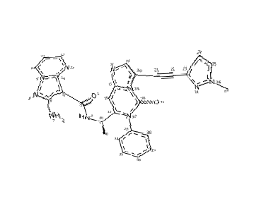 C[C@@H](NC(=O)c1c(N)nn2cccnc12)c1cc2ncc(C#Cc3ccn(C)n3)n2c(=O)n1-c1ccccc1